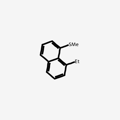 CCc1cccc2cccc(SC)c12